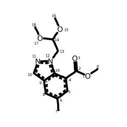 COC(=O)c1cc(C)cc2cnn(CC(OC)OC)c12